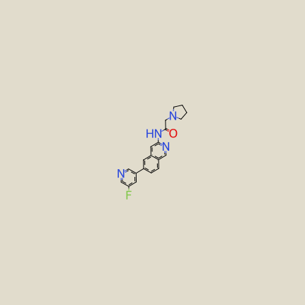 O=C(CN1CCCC1)Nc1cc2cc(-c3cncc(F)c3)ccc2cn1